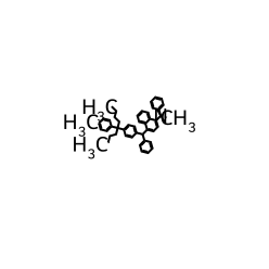 CCCCC(CCCC)(c1ccc(C)cc1)c1ccc(C(c2ccccc2)c2ccc(N(C)c3ccccc3)c3ccccc23)cc1